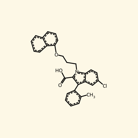 Cc1ccccc1-c1c(C(=O)O)n(CCCOc2cccc3ccccc23)c2ccc(Cl)cc12